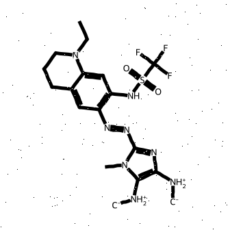 [CH2-][NH2+]c1nc(/N=N/c2cc3c(cc2NS(=O)(=O)C(F)(F)F)N(CC)CCC3)n(C)c1[NH2+][CH2-]